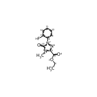 CCOC(=O)c1nn(-c2ccccc2F)c(=O)n1C